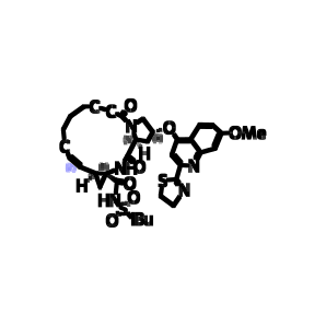 CCC(C)S(=O)(=O)NC(=O)[C@@]12C[C@H]1/C=C\CCCCCCC(=O)N1C[C@H](Oc3cc(C4=NCCS4)nc4cc(OC)ccc34)C[C@H]1C(=O)N2